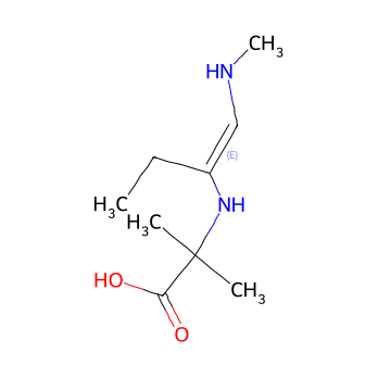 CC/C(=C\NC)NC(C)(C)C(=O)O